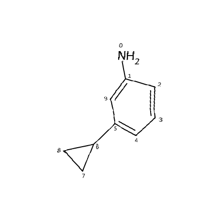 Nc1cccc([C]2CC2)c1